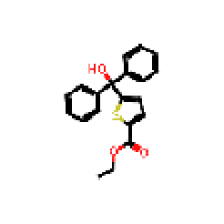 CCOC(=O)c1ccc(C(O)(c2ccccc2)c2ccccc2)s1